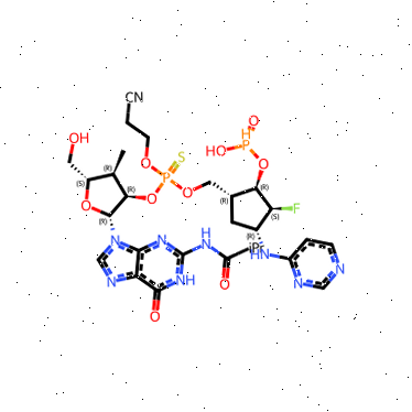 CC(C)C(=O)Nc1nc2c(ncn2[C@@H]2O[C@H](CO)[C@@H](C)[C@H]2OP(=S)(OCCC#N)OC[C@H]2C[C@@H](Nc3ccncn3)[C@H](F)[C@@H]2O[PH](=O)O)c(=O)[nH]1